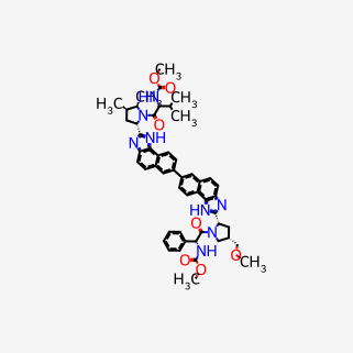 COC[C@H]1C[C@@H](c2nc3ccc4cc(-c5ccc6c(ccc7nc([C@@H]8C[C@@H](C)[C@@H](C)N8C(=O)[C@@H](NC(=O)OC)C(C)C)[nH]c76)c5)ccc4c3[nH]2)N(C(=O)[C@H](NC(=O)OC)c2ccccc2)C1